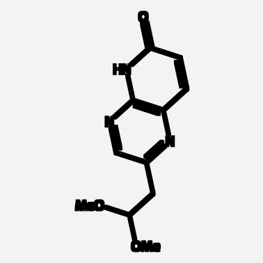 COC(Cc1cnc2[nH]c(=O)ccc2n1)OC